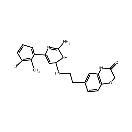 Cc1c(Cl)cccc1C1=CC(NCCc2ccc3c(c2)NC(=O)CO3)NC(N)=N1